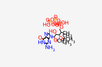 COC(C(O)C(OC(C)(C)C)C(C)COP(=O)(O)OP(=O)(O)OP(=O)(O)O)n1cnc2c(=O)[nH]c(N)nc21